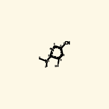 CN(C)c1ncc(C#N)cc1I